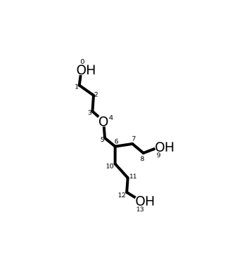 OCCCOCC(CCO)CCCO